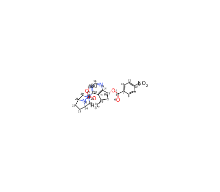 C[C@@H]1C[C@@H](OC(=O)c2ccc([N+](=O)[O-])cc2)c2ncnc(N3CC4CCC(C3)N4C(=O)OC(C)(C)C)c21